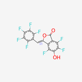 O=C1O/C(=C\c2c(F)c(F)c(F)c(F)c2F)c2c(F)c(O)c(F)c(F)c21